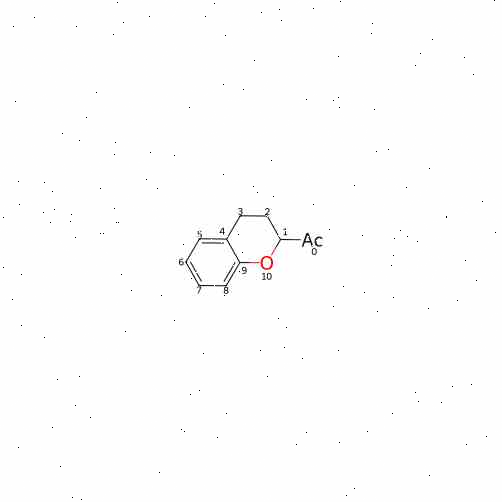 CC(=O)C1CCc2ccccc2O1